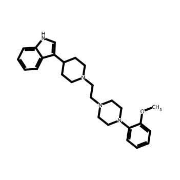 COc1ccccc1N1CCN(CCN2CCC(c3c[nH]c4ccccc34)CC2)CC1